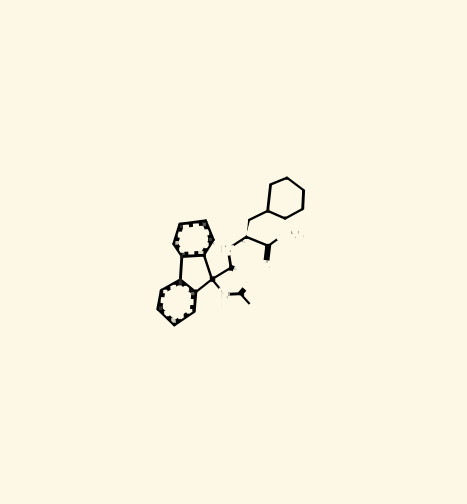 COC(=O)[C@H](CC1CCCCC1)NC(=O)C1(NC(=O)C(F)(F)F)c2ccccc2-c2ccccc21